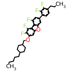 CCCCCC1CCC(COc2cc3oc4cc(-c5ccc(CCC)c(F)c5F)cc(F)c4c3c(F)c2F)CC1